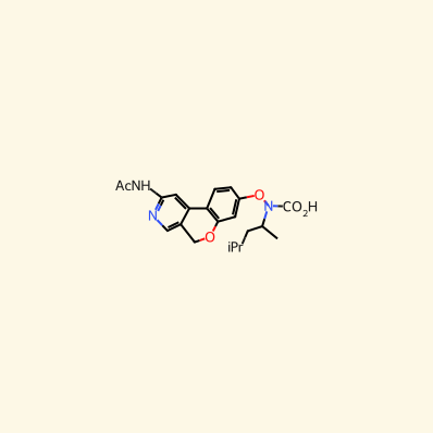 CC(=O)Nc1cc2c(cn1)COc1cc(ON(C(=O)O)C(C)CC(C)C)ccc1-2